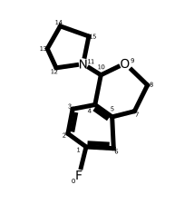 Fc1ccc2c(c1)CCOC2N1CCCC1